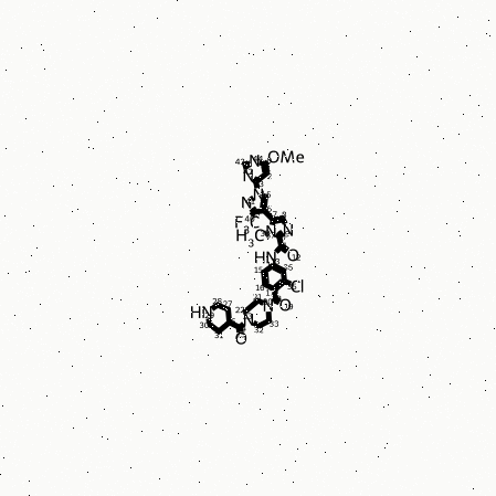 COc1cc(-n2cc(-c3cnc(C(=O)Nc4ccc(C(=O)N5CCN(C(=O)C6CCNCC6)CC5)c(Cl)c4)n3C)c(C(F)(F)F)n2)ncn1